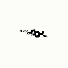 CCCCCCCOc1ccc2cc(C(C)[N+](=O)[O-])ccc2n1